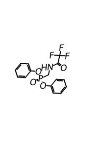 O=C(NCP(=O)(Oc1ccccc1)Oc1ccccc1)C(F)(F)F